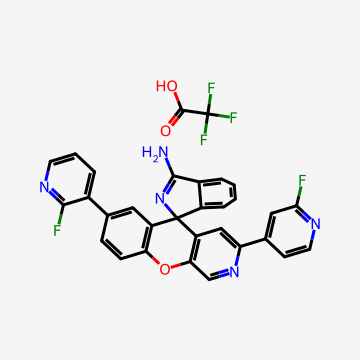 NC1=NC2(c3cc(-c4cccnc4F)ccc3Oc3cnc(-c4ccnc(F)c4)cc32)c2ccccc21.O=C(O)C(F)(F)F